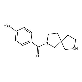 CC(C)(C)c1ccc(C(=O)N2CCC3(CCNC3)C2)cc1